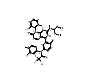 Cc1ccc(N(C(=O)C(F)(F)F)c2ccc(C)c(-c3nc(NC(CO)CO)nc4c3ccc(=O)n4-c3c(F)cccc3F)c2)cc1C